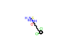 NC(=S)NNC(=O)CCCCCCc1c(Cl)cccc1Cl